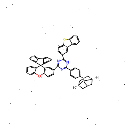 c1ccc2c(c1)Oc1ccc(-c3nc(-c4ccc(C56CC7C[C@H](C5)C[C@@H](C7)C6)cc4)nc(-c4ccc5sc6ccccc6c5c4)n3)cc1C21c2ccccc2-c2ccccc21